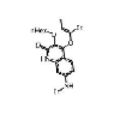 CC=C(CC)Oc1c(OCCCCCC)c(=O)[nH]c2cc(NCC)ccc12